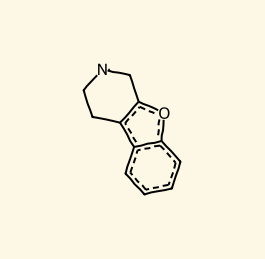 c1ccc2c3c(oc2c1)C[N]CC3